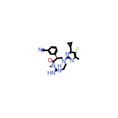 Cc1nc(N2CCNC(=N)N(C)C(=O)[C@@H](c3cccc(C#N)c3)C2)nc(C2CC2)c1F